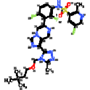 Cc1ncc(F)cc1S(=O)(=O)Nc1ccc(F)c(-c2cn3cnc(-c4nnc(C)n4COCC[Si](C)(C)C)c3cn2)c1F